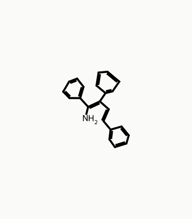 NC(=C(C=Cc1ccccc1)c1ccccc1)c1ccccc1